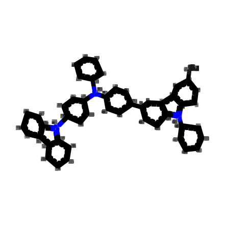 CC(C)(C)c1ccc2c(c1)c1cc(-c3ccc(N(c4ccccc4)c4ccc(-n5c6ccccc6c6ccccc65)cc4)cc3)ccc1n2-c1ccccc1